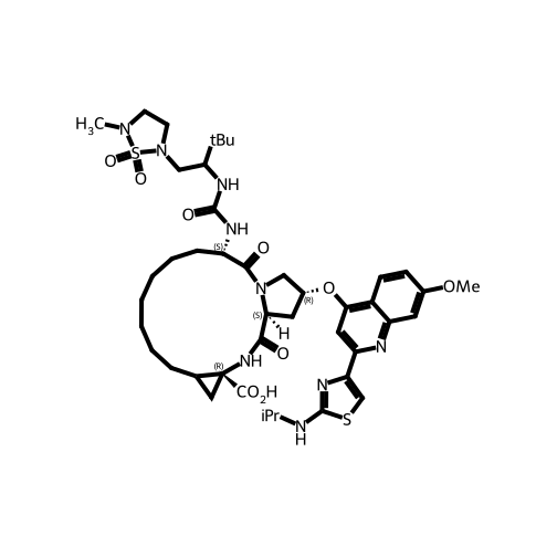 COc1ccc2c(O[C@@H]3C[C@H]4C(=O)N[C@]5(C(=O)O)CC5CCCCCCC[C@H](NC(=O)NC(CN5CCN(C)S5(=O)=O)C(C)(C)C)C(=O)N4C3)cc(-c3csc(NC(C)C)n3)nc2c1